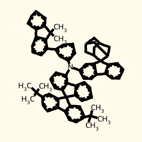 CC(C)(C)c1ccc2c(c1)C1(c3cc(C(C)(C)C)ccc3-2)c2ccccc2-c2c(N(c3cccc(-c4cccc5c4C(C)(C)c4ccccc4-5)c3)c3ccc4c(c3)C3(c5ccccc5-4)C4CC5CC(C4)CC3C5)cccc21